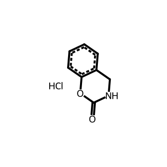 Cl.O=C1NCc2ccccc2O1